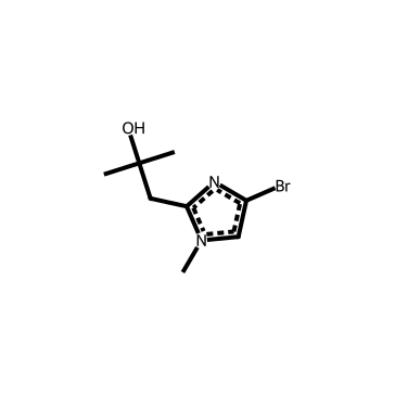 Cn1cc(Br)nc1CC(C)(C)O